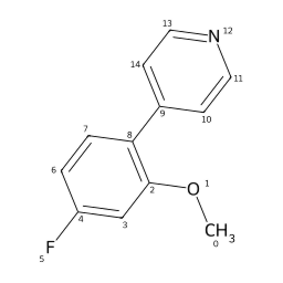 COc1cc(F)ccc1-c1ccncc1